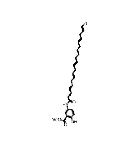 CCC=CCC=CCC=CCC=CCC=CCC=CCCC(=O)Nc1ccc(O)c(C(=O)OC)c1